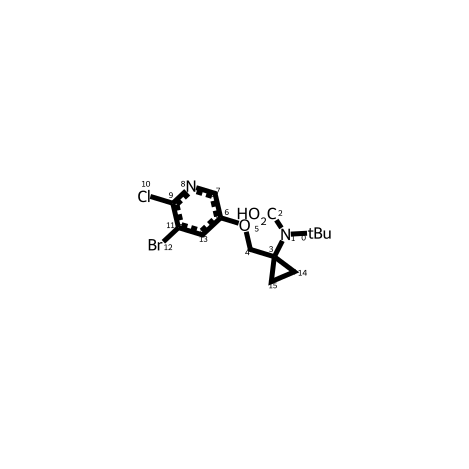 CC(C)(C)N(C(=O)O)C1(COc2cnc(Cl)c(Br)c2)CC1